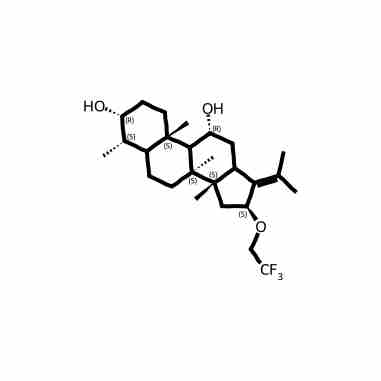 CC(C)=C1C2C[C@@H](O)C3[C@@]4(C)CC[C@@H](O)[C@@H](C)C4CC[C@]3(C)[C@@]2(C)C[C@@H]1OCC(F)(F)F